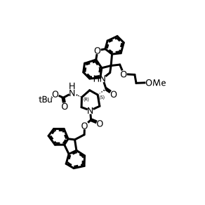 COCCOCC1(CNC(=O)[C@H]2C[C@@H](NC(=O)OC(C)(C)C)CN(C(=O)OCC3c4ccccc4-c4ccccc43)C2)c2ccccc2Oc2ccccc21